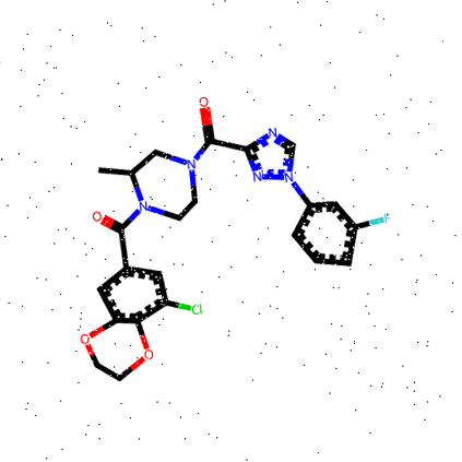 CC1CN(C(=O)c2ncn(-c3cccc(F)c3)n2)CCN1C(=O)c1cc(Cl)c2c(c1)OCCO2